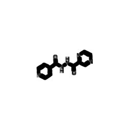 O=C(NNC(=O)c1cnccn1)c1ccncc1